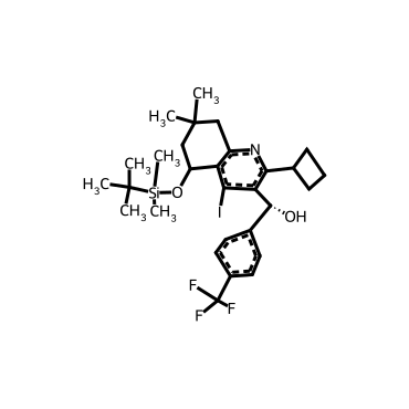 CC1(C)Cc2nc(C3CCC3)c([C@H](O)c3ccc(C(F)(F)F)cc3)c(I)c2C(O[Si](C)(C)C(C)(C)C)C1